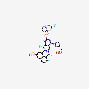 CCc1c(F)ccc2cc(O)cc(-c3ncc4c(N5CC[C@H](CO)C5)nc(OC[C@@]56CCCN5C[C@H](F)C6)nc4c3F)c12